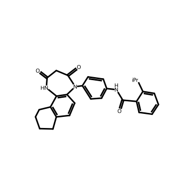 CC(C)c1ccccc1C(=O)Nc1ccc(N2C(=O)CC(=O)Nc3c2ccc2c3CCCC2)cc1